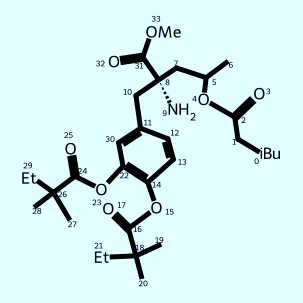 CCC(C)CC(=O)OC(C)C[C@@](N)(Cc1ccc(OC(=O)C(C)(C)CC)c(OC(=O)C(C)(C)CC)c1)C(=O)OC